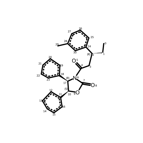 CC[C@H](CC(=O)N1C(=O)O[C@@H](c2ccccc2)[C@H]1c1ccccc1)c1cccc(C)c1